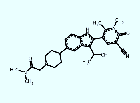 Cc1c(-c2[nH]c3ccc(C4CCN(CC(=O)N(C)C)CC4)cc3c2C(C)C)cc(C#N)c(=O)n1C